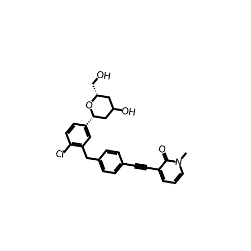 Cn1cccc(C#Cc2ccc(Cc3cc([C@H]4CC(O)C[C@@H](CO)O4)ccc3Cl)cc2)c1=O